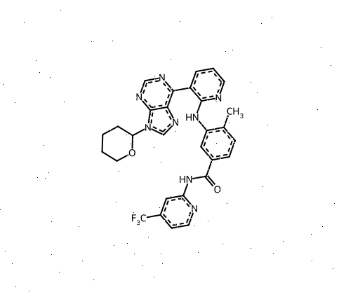 Cc1ccc(C(=O)Nc2cc(C(F)(F)F)ccn2)cc1Nc1ncccc1-c1ncnc2c1ncn2C1CCCCO1